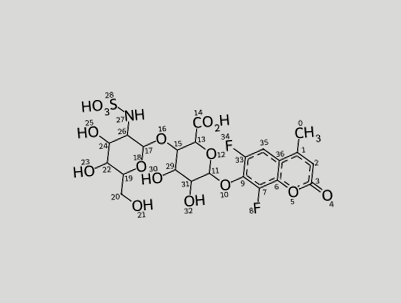 Cc1cc(=O)oc2c(F)c(OC3OC(C(=O)O)C(OC4OC(CO)C(O)C(O)C4NS(=O)(=O)O)C(O)C3O)c(F)cc12